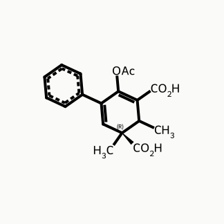 CC(=O)OC1=C(C(=O)O)C(C)[C@@](C)(C(=O)O)C=C1c1ccccc1